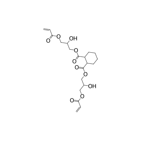 C=CC(=O)OCC(O)COC(=O)C1CCCCC1C(=O)OCC(O)COC(=O)C=C